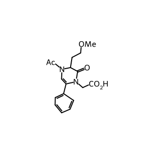 COCCC1C(=O)N(CC(=O)O)C(c2ccccc2)=CN1C(C)=O